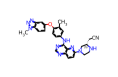 Cc1cc(Nc2ncnc3ccc(N4CCN[C@@H](CC#N)C4)nc23)ccc1Oc1ccc2c(c1)nnn2C